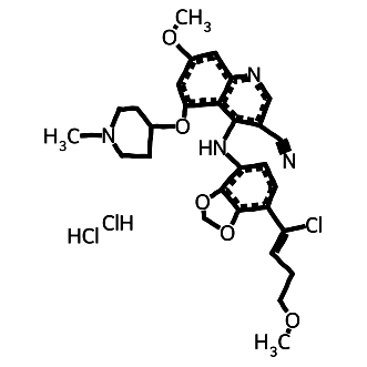 COCC/C=C(\Cl)c1ccc(Nc2c(C#N)cnc3cc(OC)cc(OC4CCN(C)CC4)c23)c2c1OCO2.Cl.Cl